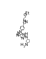 CCOCCn1cc(-c2ccc(-n3nnc4cnc(N[C@@H]5CC[C@@H](N)C5)nc43)cc2)cn1